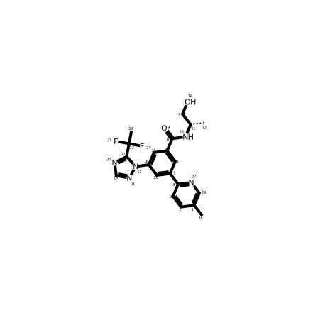 Cc1ccc(-c2cc(C(=O)N[C@@H](C)CO)cc(-n3ncnc3C(C)(F)F)c2)nc1